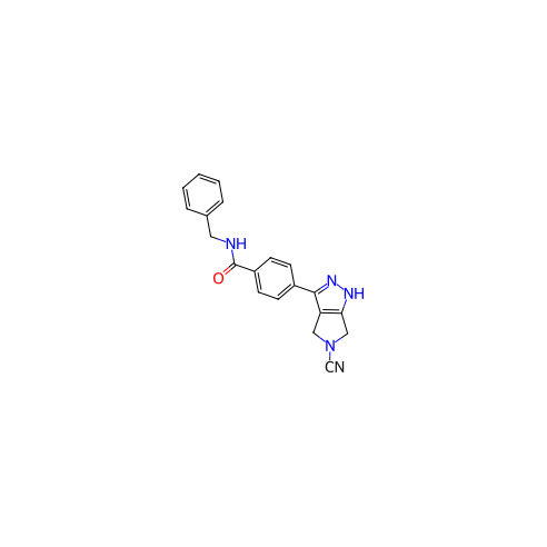 N#CN1Cc2[nH]nc(-c3ccc(C(=O)NCc4ccccc4)cc3)c2C1